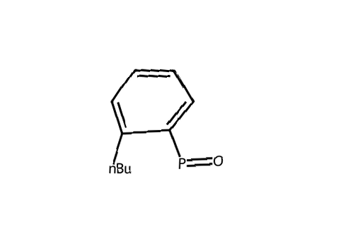 CCCCc1ccccc1P=O